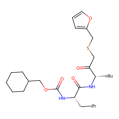 CCCC[C@H](NC(=O)[C@H](CC(C)C)NC(=O)OCC1CCCCC1)C(=O)CSCc1ccco1